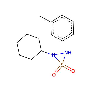 Cc1ccccc1.O=S1(=O)NN1C1CCCCC1